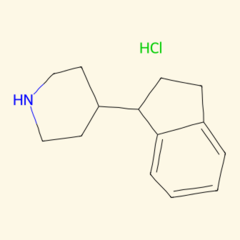 Cl.c1ccc2c(c1)CCC2C1CCNCC1